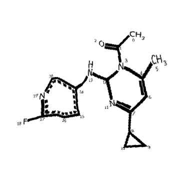 CC(=O)N1C(C)=CC(C2CC2)=NC1Nc1ccc(F)nc1